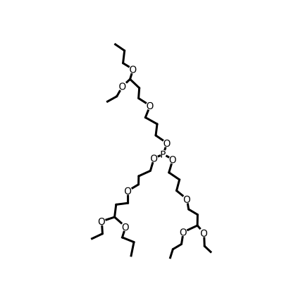 CCCOC(CCOCCCOP(OCCCOCCC(OCC)OCCC)OCCCOCCC(OCC)OCCC)OCC